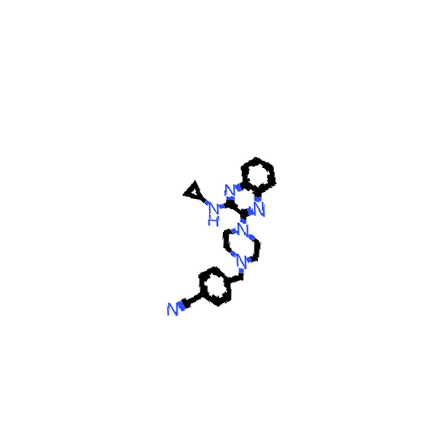 N#Cc1ccc(CN2CCN(c3nc4ccccc4nc3NC3CC3)CC2)cc1